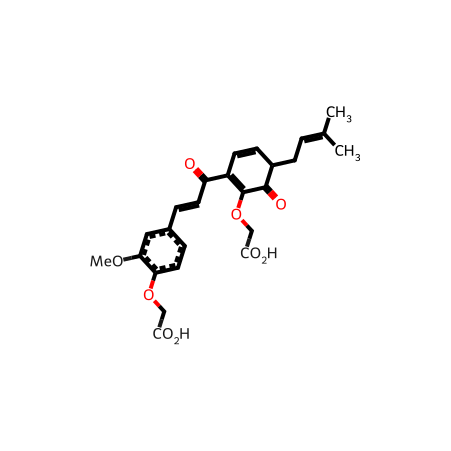 COc1cc(C=CC(=O)C2=C(OCC(=O)O)C(=O)C(CC=C(C)C)C=C2)ccc1OCC(=O)O